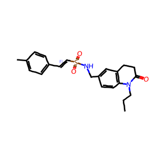 CCCN1C(=O)CCc2cc(CNS(=O)(=O)/C=C/c3ccc(C)cc3)ccc21